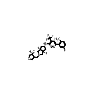 Cc1ccc(F)cc1-c1cc(C(F)(F)F)c(N[C@@H]2C[C@@H]3CN(CC4COCC4C)C[C@@H]3C2)nn1